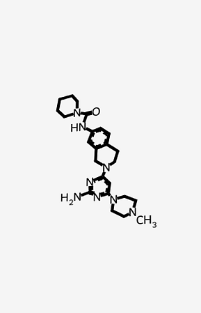 CN1CCN(c2cc(N3CCc4ccc(NC(=O)N5CCCCC5)cc4C3)nc(N)n2)CC1